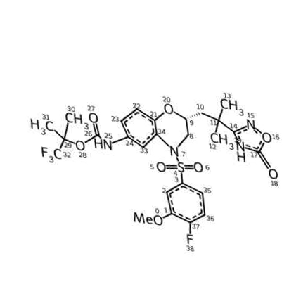 COc1cc(S(=O)(=O)N2C[C@@H](CC(C)(C)c3noc(=O)[nH]3)Oc3ccc(NC(=O)OC(C)(C)C(F)(F)F)cc32)ccc1F